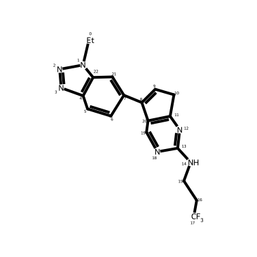 CCn1nnc2ccc(C3=CCc4nc(NCCC(F)(F)F)ncc43)cc21